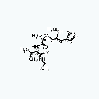 CCNC(=O)[C@@H](NC(=O)[C@H](C)NCC(Cc1ccoc1)NC)C(C)C